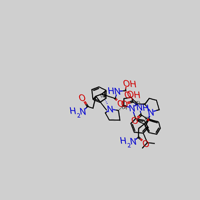 CC(C)c1ccc(N2[C@H](C3CCCN3[C@@]3(C(=O)NC(=O)O)c4ccc(cc4)C3(C)CC(N)=O)CC[C@H]2C2CCCN2[C@@]2(C(=O)NC(=O)O)c3ccc(cc3)C2(C)CC(N)=O)cc1